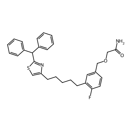 NC(=O)COCc1ccc(F)c(CCCCCc2csc(C(c3ccccc3)c3ccccc3)n2)c1